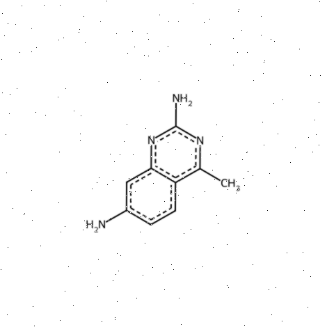 Cc1nc(N)nc2cc(N)ccc12